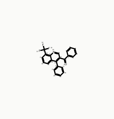 O=C(c1ccccc1)c1cnc2c(C(F)(F)F)cccc2c1-c1c[c]ccc1